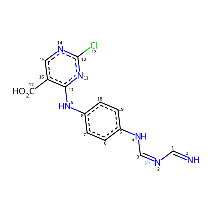 N=C/N=C\Nc1ccc(Nc2nc(Cl)ncc2C(=O)O)cc1